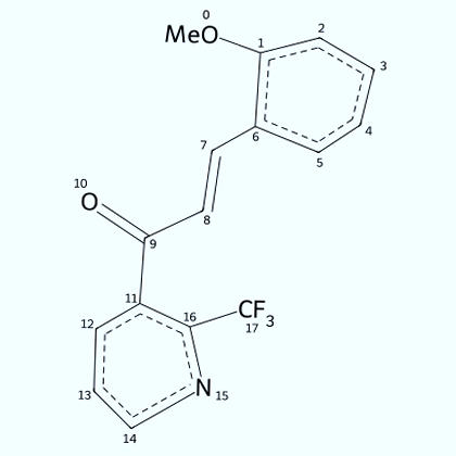 COc1ccccc1C=CC(=O)c1cccnc1C(F)(F)F